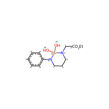 CCOC(=O)CN1CCCN(c2ccccc2)S1(O)O